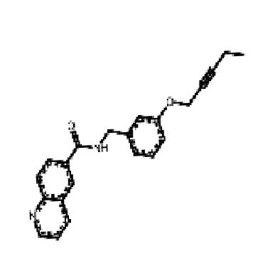 CCC#CCOc1cccc(CNC(=O)c2ccc3ncccc3c2)c1